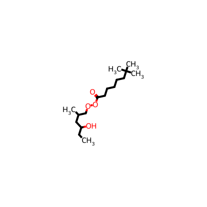 CCC(O)CC(C)COOC(=O)CCCCCC(C)(C)C